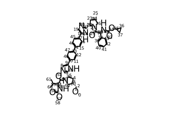 COC[C@H]1C[C@@H](c2ncc(-c3ccc(-c4ccc(-c5cnc([C@@H]6C[C@H](C)CN6C(=O)[C@H](NC(=O)OC6CC6)c6ccccc6)[nH]5)cc4)cc3)[nH]2)N(C(=O)[C@@H](NC(=O)OC)C(C)C)C1